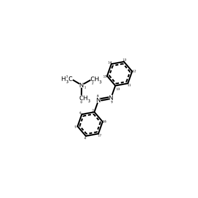 CN(C)C.c1ccc(N=Nc2ccccc2)cc1